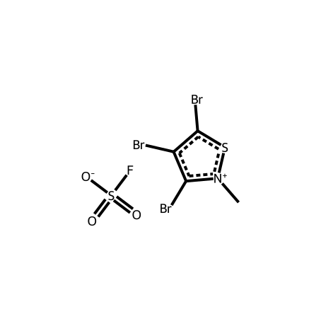 C[n+]1sc(Br)c(Br)c1Br.O=S(=O)([O-])F